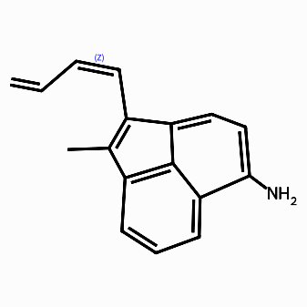 C=C/C=C\C1=C(C)c2cccc3c(N)ccc1c23